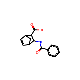 O=C(NC1C2C=CC(C2)C1C(=O)O)c1ccccc1